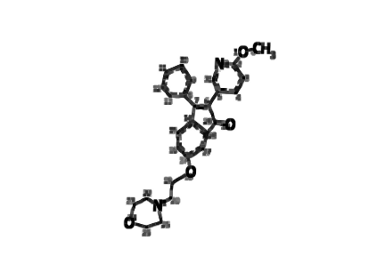 COc1ccc(C2=C(c3ccccc3)c3ccc(OCCN4CCOCC4)cc3C2=O)cn1